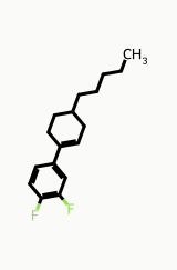 CCCCCC1CC=C(c2ccc(F)c(F)c2)CC1